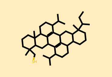 CCC(C)C1(C)CCCC2C3CCC(C(C)C)C4=C3C(CC21)C1=C2C4CC3C(C)(CS)CCCC3(C)C2CCC1C(C)C